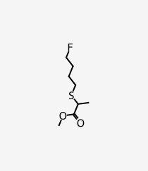 COC(=O)C(C)SCCCCF